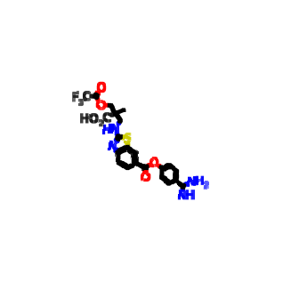 CC(CNc1nc2ccc(C(=O)Oc3ccc(C(=N)N)cc3)cc2s1)(COC(=O)C(F)(F)F)C(=O)O